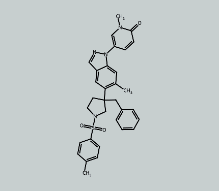 Cc1ccc(S(=O)(=O)N2CCC(Cc3ccccc3)(c3cc4cnn(-c5ccc(=O)n(C)c5)c4cc3C)C2)cc1